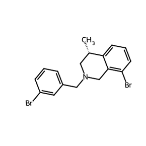 C[C@H]1CN(Cc2cccc(Br)c2)Cc2c(Br)cccc21